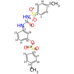 Cc1ccc(S(=O)(=O)NC(=O)Nc2cccc(OS(=O)(=O)c3ccc(C)cc3)c2)cc1